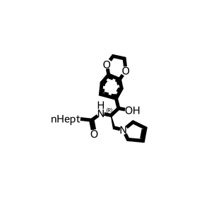 CCCCCCCC(=O)N[C@H](CN1CC=CC1)C(O)c1ccc2c(c1)OCCO2